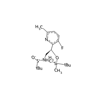 Cc1ccc(F)c([C@H](CN[S+]([O-])C(C)(C)C)O[Si](C)(C)C(C)(C)C)n1